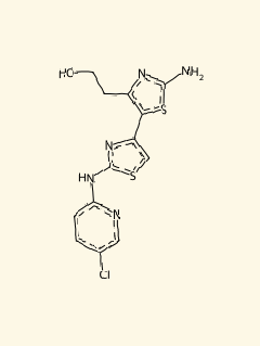 Nc1nc(CCO)c(-c2csc(Nc3ccc(Cl)cn3)n2)s1